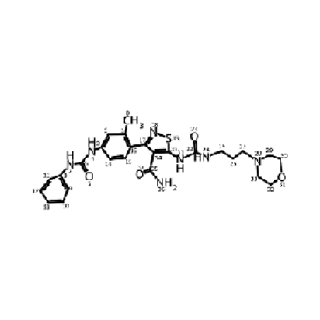 Cc1cc(NC(=O)Nc2ccccc2)ccc1-c1nsc(NC(=O)NCCCN2CCOCC2)c1C(N)=O